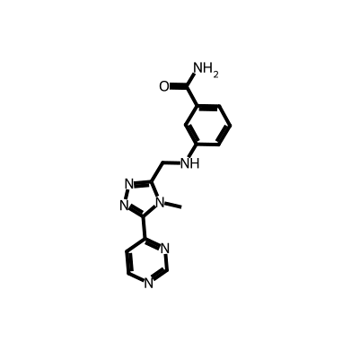 Cn1c(CNc2cccc(C(N)=O)c2)nnc1-c1ccncn1